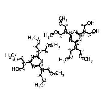 COCN(CO)c1nc(N(COC)COC)nc(N(COC)COC)n1.COCN(COC)c1nc(N(CO)CO)nc(N(COC)COC)n1